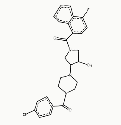 O=C(c1ccc(Cl)cc1)N1CCN(C2CN(C(=O)c3ccc(F)c4ccccc34)CC2O)CC1